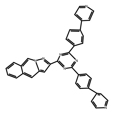 c1ccc2cn3nc(-c4nc(-c5ccc(-c6ccncc6)cc5)nc(-c5ccc(-c6ccncc6)cc5)n4)cc3cc2c1